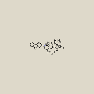 CC1(C)NC(=O)N(CCC(C/C(=N\O)c2ccc3c4c(oc3c2)CCC4)C(=O)O)C1=O